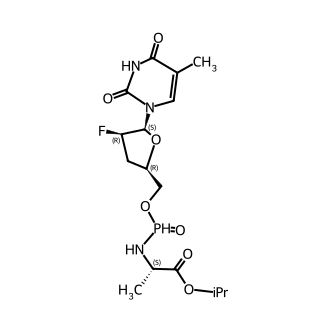 Cc1cn([C@H]2O[C@@H](CO[PH](=O)N[C@@H](C)C(=O)OC(C)C)C[C@H]2F)c(=O)[nH]c1=O